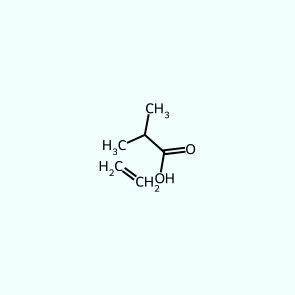 C=C.CC(C)C(=O)O